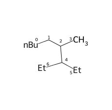 C[CH]CCCC(C)C(CC)CC